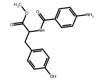 COC(=O)C(Cc1ccc(O)cc1)NC(=O)c1ccc(N)cc1